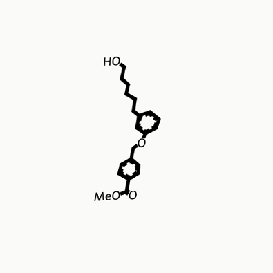 COC(=O)c1ccc(COc2cccc(CCCCCCO)c2)cc1